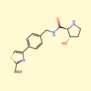 CCCCCCCCc1nc(-c2ccc(CNC(=O)[C@H]3NCC[C@@H]3O)cc2)cs1